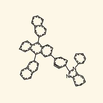 c1c(-c2ccc3c(-c4ccc5ccccc5c4)c4ccccc4c(-c4ccc5ccccc5c4)c3c2)ccc(-c2nc3ccccc3n2-c2ccccc2)c#1